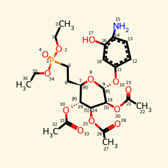 CCOP(=O)(CC[C@H]1O[C@H](Oc2ccc(N)c(O)c2)[C@@H](OC(C)=O)[C@@H](OC(C)=O)[C@@H]1OC(C)=O)OCC